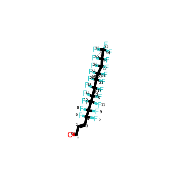 O=CC=CC(F)(F)C(F)(F)C(F)(F)C(F)(F)C(F)(F)C(F)(F)C(F)(F)C(F)(F)C(F)(F)C(F)(F)F